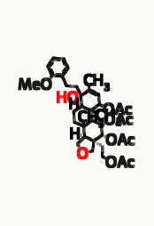 COc1ccccc1CC[C@@]1(O)C(C)=C[C@@H](OC(C)=O)[C@]2(C)C3[C@H](OC(C)=O)[C@H](OC(C)=O)[C@@]4(CCOC(C)=O)COC[C@H]4[C@]3(C)CC[C@H]21